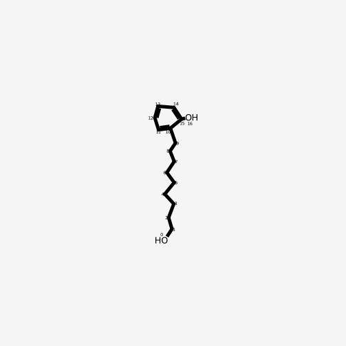 OCCCCCCCCCc1ccccc1O